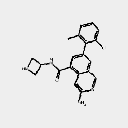 Cc1cccc(Cl)c1-c1cc(C(=O)NC2CNC2)c2cc(N)ncc2c1